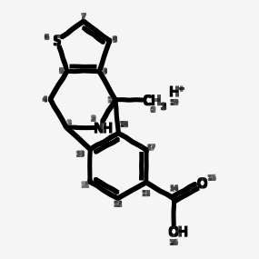 CC12NC(Cc3sccc31)c1ccc(C(=O)O)cc12.[H+]